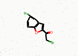 O=C(CBr)c1cc2cc(Br)ccc2o1